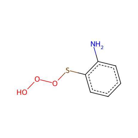 Nc1ccccc1SOOO